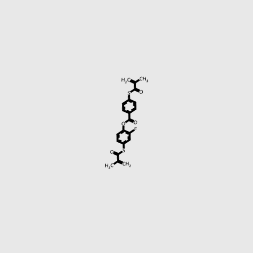 C=C(C)C(=O)Sc1ccc(C(=O)Oc2ccc(SC(=O)C(=C)C)cc2F)cc1